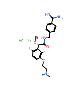 CCO[C@H](C(=O)NCc1ccc(C(=N)N)cc1)c1c(F)ccc(OCCN(C)C)c1F.Cl.Cl